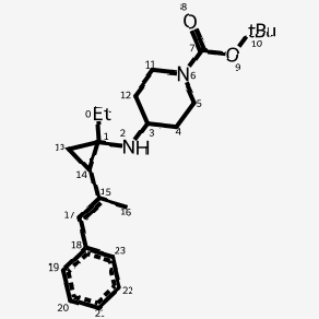 CCC1(NC2CCN(C(=O)OC(C)(C)C)CC2)CC1/C(C)=C/c1ccccc1